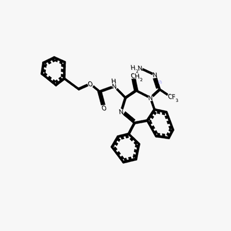 C=C1C(NC(=O)OCc2ccccc2)N=C(c2ccccc2)c2ccccc2N1/C(=N\N)C(F)(F)F